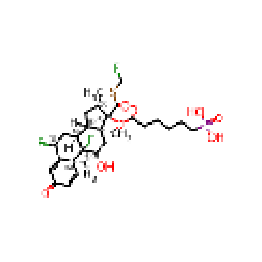 C[C@@H]1C[C@H]2[C@@H]3C[C@H](F)C4=CC(=O)C=C[C@]4(C)[C@@]3(F)[C@@H](O)C[C@]2(C)[C@@]1(OC(=O)CCCCCP(=O)(O)O)C(=O)SCF